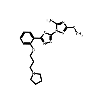 CSc1nc(N)n(-c2nnc(-c3ccccc3OCCCN3CCCC3)s2)n1